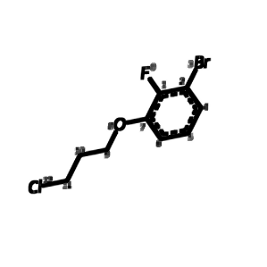 Fc1c(Br)cccc1OCCCCl